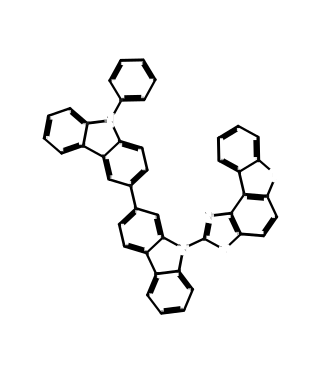 c1ccc(-n2c3ccccc3c3cc(-c4ccc5c6ccccc6n(-c6nc7c(ccc8oc9ccccc9c87)s6)c5c4)ccc32)cc1